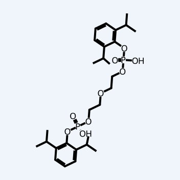 CC(C)c1cccc(C(C)C)c1OP(=O)(O)OCCOCCOP(=O)(O)Oc1c(C(C)C)cccc1C(C)C